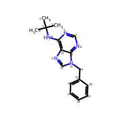 CC(C)(C)Nc1ncnc2c1ncn2Cc1ccccc1